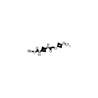 CC(C)(C)OC(=O)NC12CC(NC(=O)CO[C@H]3C[C@H](OC(F)(F)F)C3)(C1)C2